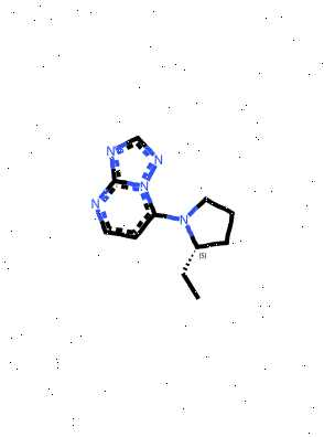 CC[C@H]1CCCN1c1ccnc2ncnn12